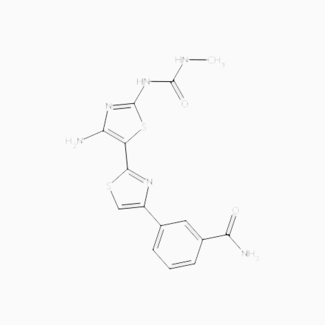 CNC(=O)Nc1nc(N)c(-c2nc(-c3cccc(C(N)=O)c3)cs2)s1